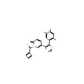 Fc1cc(F)c(-c2ncoc2-c2ccc3nnc(C4=CC=C4)n3c2)cc1F